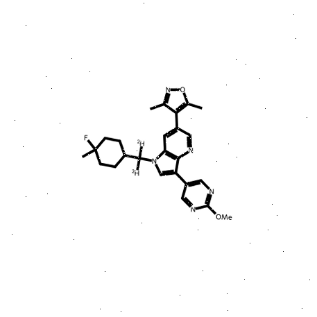 [2H]C([2H])(C1CCC(C)(F)CC1)n1cc(-c2cnc(OC)nc2)c2ncc(-c3c(C)noc3C)cc21